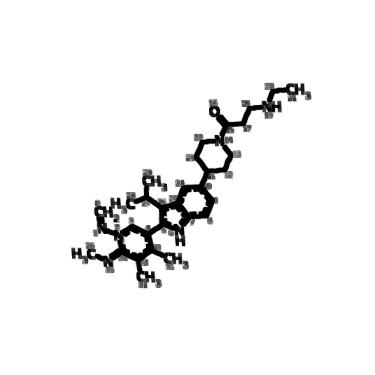 C=Nn1cc(-c2[nH]c3ccc(C4CCN(C(=O)CCNCC)CC4)cc3c2C(C)C)c(C)c(C)/c1=N/C